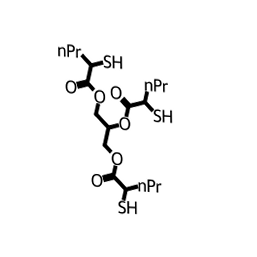 CCCC(S)C(=O)OCC(COC(=O)C(S)CCC)OC(=O)C(S)CCC